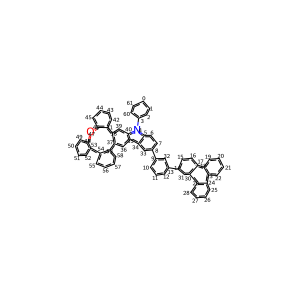 c1ccc(-n2c3ccc(-c4cccc(-c5ccc6c7ccccc7c7ccccc7c6c5)c4)cc3c3cc4c(cc32)c2ccccc2oc2ccccc2c2ccccc24)cc1